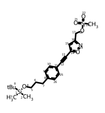 CC(C)(C)[Si](C)(C)OCCCc1ccc(C#Cc2cc(COS(C)(=O)=O)no2)cc1